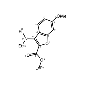 CCCOC(=O)c1oc2cc(OC)ccc2c1N(CC)CC